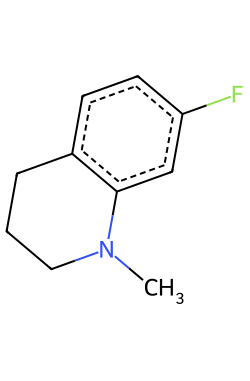 CN1CCCc2ccc(F)cc21